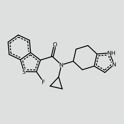 O=C(c1c(F)sc2ccccc12)N(C1CC1)C1CCc2[nH]ncc2C1